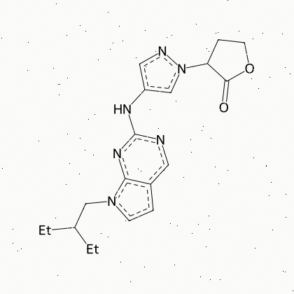 CCC(CC)Cn1ccc2cnc(Nc3cnn(C4CCOC4=O)c3)nc21